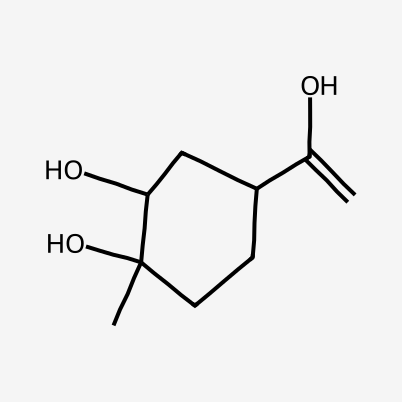 C=C(O)C1CCC(C)(O)C(O)C1